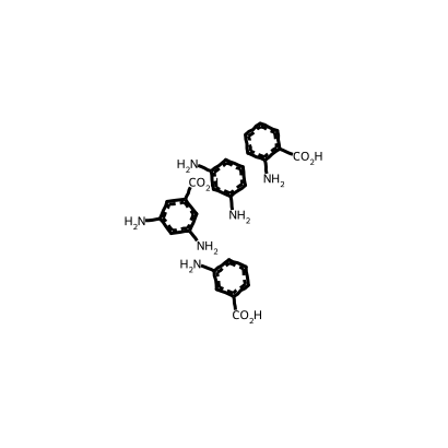 Nc1cc(N)cc(C(=O)O)c1.Nc1cccc(C(=O)O)c1.Nc1cccc(N)c1.Nc1ccccc1C(=O)O